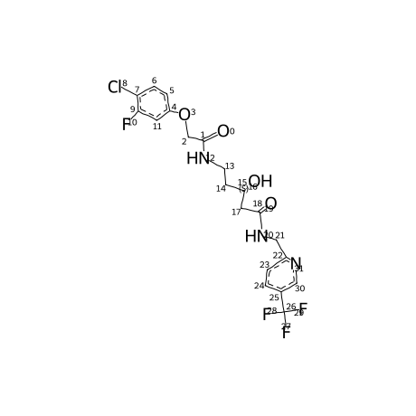 O=C(COc1ccc(Cl)c(F)c1)NCC[C@H](O)CC(=O)NCc1ccc(C(F)(F)F)cn1